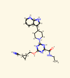 CCNC(=O)c1nc(OC[C@H]2C[C@H]2C#N)nc(N2CCC(c3c[nH]c4ncccc34)CC2)n1